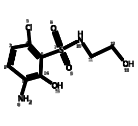 Nc1ccc(Cl)c(S(=O)(=O)NCCO)c1O